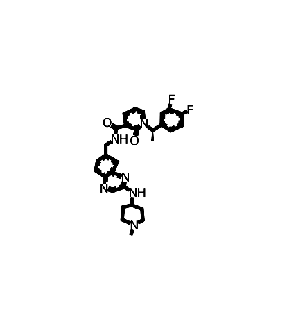 C[C@H](c1ccc(F)c(F)c1)n1cccc(C(=O)NCc2ccc3ncc(NC4CCN(C)CC4)nc3c2)c1=O